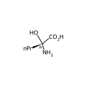 CCC[C@@](N)(O)C(=O)O